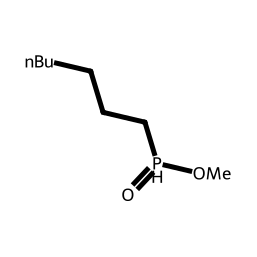 CCCCCCC[PH](=O)OC